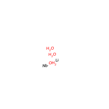 O.O.O.[Li].[Nb]